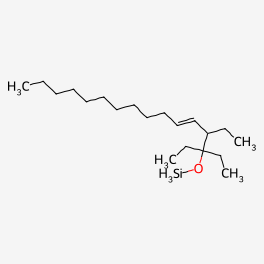 CCCCCCCCCCC=CC(CC)C(CC)(CC)O[SiH3]